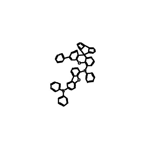 c1ccc(-c2ccc3c(c2)Oc2c(N(c4ccccc4)c4cccc5c4oc4ccc(N(c6ccccc6)c6ccccc6)cc45)cccc2C32c3ccccc3-c3ccccc32)cc1